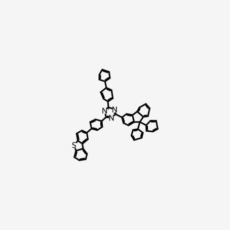 c1ccc(-c2ccc(-c3nc(-c4ccc(-c5ccc6sc7ccccc7c6c5)cc4)nc(-c4ccc5c(c4)-c4ccccc4C5(c4ccccc4)c4ccccc4)n3)cc2)cc1